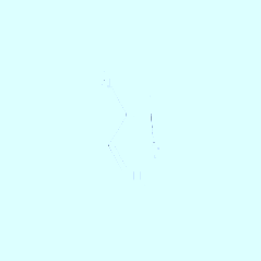 C=C[CH2][Al].C[CH2][Al]